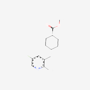 COC(=O)[C@H]1CC[C@H](Cc2cc(F)cnc2C)CC1